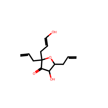 C=CCC1OC(CC=C)(CC=CO)C(=O)C1O